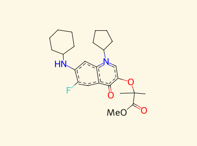 COC(=O)C(C)(C)Oc1cn(C2CCCC2)c2cc(NC3CCCCC3)c(F)cc2c1=O